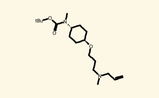 C=CCN(C)CCCO[C@H]1CC[C@H](N(C)C(=O)OC(C)(C)C)CC1